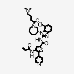 C=CC(=O)Nc1cc(C(=O)Nc2nc3cccc(Cl)c3n2[C@@H]2CCCCN(C(=O)/C=C/CN(C)C)C2)sc1-c1ccncc1